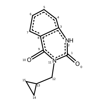 O=c1[nH]c2ccccc2c(=O)n1CC1CC1